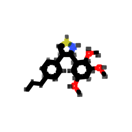 CCCc1ccc(-c2csnc2-c2cc(OC)cc(OC)c2OC)cc1